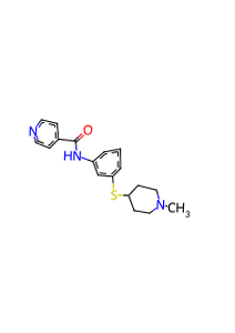 CN1CCC(Sc2cccc(NC(=O)c3ccncc3)c2)CC1